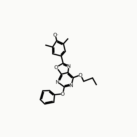 CCCOc1nc(Oc2ccccc2)nc2oc(-c3cc(C)c([O])c(C)c3)nc12